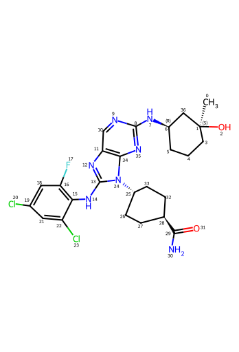 C[C@]1(O)CCC[C@@H](Nc2ncc3nc(Nc4c(F)cc(Cl)cc4Cl)n([C@H]4CC[C@H](C(N)=O)CC4)c3n2)C1